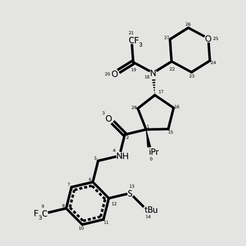 CC(C)[C@]1(C(=O)NCc2cc(C(F)(F)F)ccc2SC(C)(C)C)CC[C@@H](N(C(=O)C(F)(F)F)C2CCOCC2)C1